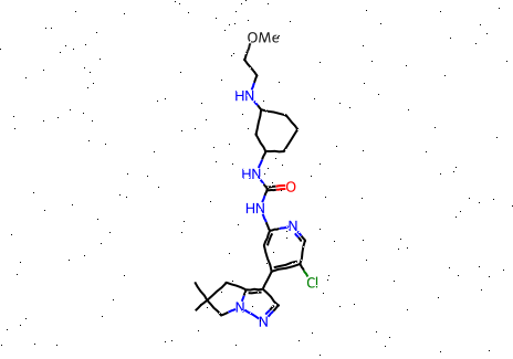 COCCNC1CCCC(NC(=O)Nc2cc(-c3cnn4c3CC(C)(C)C4)c(Cl)cn2)C1